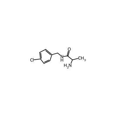 CC(N)C(=O)NCc1ccc(Cl)cc1